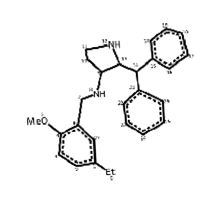 CCc1ccc(OC)c(CNC2CCNC2C(c2ccccc2)c2ccccc2)c1